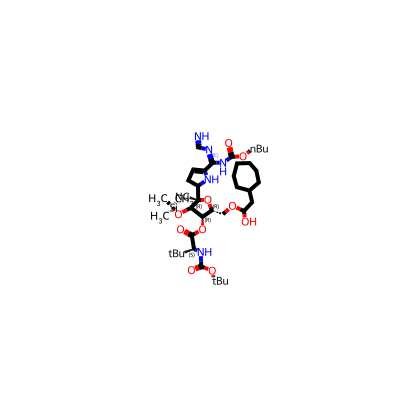 CCCCOC(=O)N/C(=N/C=N)C1=CCC([C@]2(C#N)O[C@H](COC(O)CC3CCCCCC3)[C@@H](OC(=O)[C@@H](NC(=O)OC(C)(C)C)C(C)(C)C)C2O[Si](C)(C)C)N1